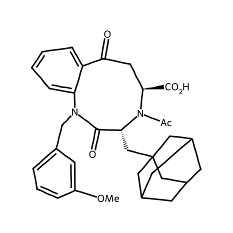 COc1cccc(CN2C(=O)[C@@H](CC34CC5CC(CC(C5)C3)C4)N(C(C)=O)[C@H](C(=O)O)CC(=O)c3ccccc32)c1